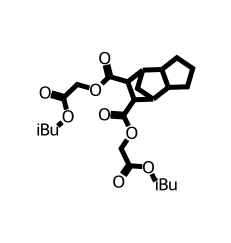 CCC(C)OC(=O)COC(=O)C1C2CC(C3CCCC32)C1C(=O)OCC(=O)OC(C)CC